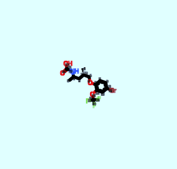 CC(C[C@H](C)COc1ccc(Br)cc1OC(F)(F)F)NC(=O)O